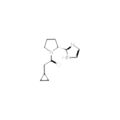 O=C(CC1CC1)N1CCC[C@H]1c1ncc[nH]1